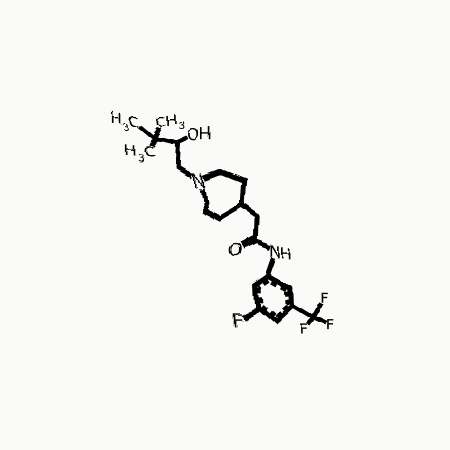 CC(C)(C)C(O)CN1CCC(CC(=O)Nc2cc(F)cc(C(F)(F)F)c2)CC1